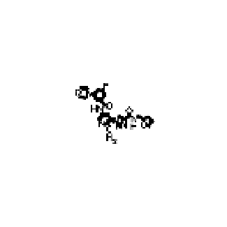 Cc1ncc(NC(=O)c2cc(F)cc(N3CCOCC3)c2)cc1-n1cc(C(=O)NCC2CCCO2)nn1